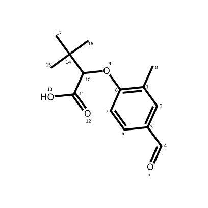 Cc1cc(C=O)ccc1OC(C(=O)O)C(C)(C)C